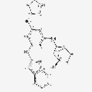 c1ccc2sc(Nc3nc(NC4C[C@H]5CCC4C5)cc(N[C@@H]4CCNC4)n3)nc2c1